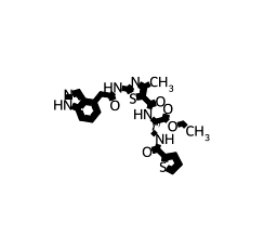 CCOC(=O)[C@H](CNC(=O)c1cccs1)NC(=O)c1sc(NC(=O)Cc2cccc3[nH]ncc23)nc1C